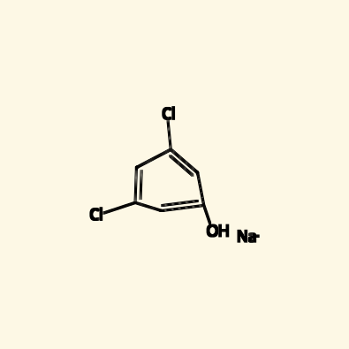 Oc1cc(Cl)cc(Cl)c1.[Na]